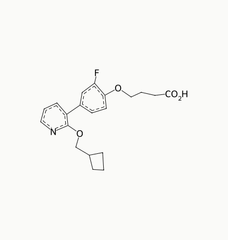 O=C(O)CCCOc1ccc(-c2cccnc2OCC2CCC2)cc1F